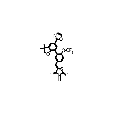 CC1(C)COc2c(-c3cc(/C=C4\SC(=O)NC4=O)ccc3OC(F)(F)F)cc(-c3ncco3)cc21